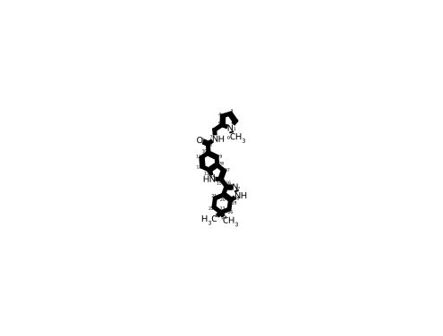 Cn1cccc1CNC(=O)c1ccc2[nH]c(-c3n[nH]c4c3CCC(C)(C)C4)cc2c1